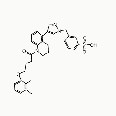 Cc1cccc(OCCCC(=O)N2CCCc3c(-c4cnn(Cc5cccc(S(=O)(=O)O)c5)c4)cccc32)c1C